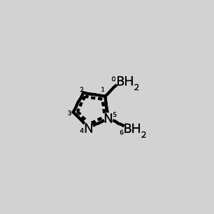 Bc1ccnn1B